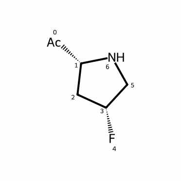 CC(=O)[C@H]1C[C@@H](F)CN1